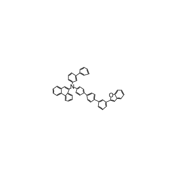 c1ccc(-c2cccc(N(c3ccc(-c4ccc(-c5cccc(-c6cc7ccccc7o6)c5)cc4)cc3)c3cc4ccccc4c4ccccc34)c2)cc1